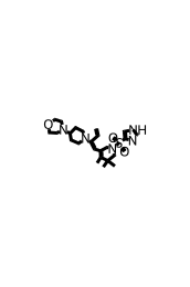 C=C/C(=C\C1=C(C)C(C)(C)CN(S(=O)(=O)c2c[nH]cn2)C1)N1CCC(N2CCOCC2)CC1